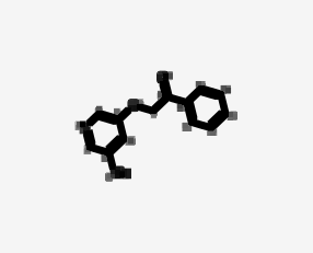 CC(C)(C)c1cncc(OCC(=O)c2ccccc2)c1